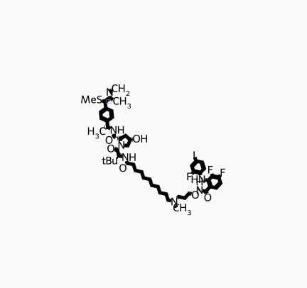 C=N/C(C)=C(\SC)c1ccc([C@H](C)NC(=O)[C@@H]2C[C@@H](O)CN2C(=O)[C@@H](NC(=O)CCCCCCCCCCN(C)CCCONC(=O)c2ccc(F)c(F)c2Nc2ccc(I)cc2F)C(C)(C)C)cc1